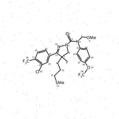 COCN(C(=O)N1CC(C)(CCCSC)C(c2ccc(C(F)(F)F)c(Cl)c2)=N1)c1ccc(OC(F)(F)F)cc1